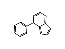 C1=CC2=CC=CC(c3ccccc3)C2=C1